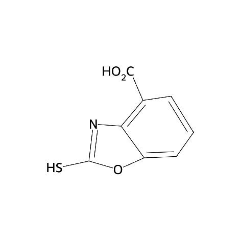 O=C(O)c1cccc2oc(S)nc12